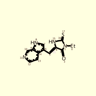 CCN1C(=O)/C(=C/c2c[nH]c3cnccc23)NC1=S